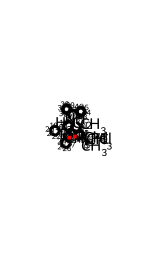 CC(C)c1ccc(C2=CC=CCC2(C(C)C)P(C2CCCCC2)C2CCCCC2)c(C(C)C)c1.Nc1ccccc1-c1ccccc1.[Cl][Pd][Cl]